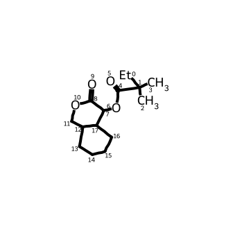 CCC(C)(C)C(=O)OC1C(=O)OCC2CCCCC21